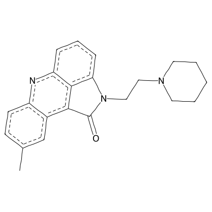 Cc1ccc2nc3cccc4c3c(c2c1)C(=O)N4CCN1CCCCC1